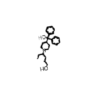 CCC(CCCO)N1CCC(C(O)(c2ccccc2)c2ccccc2)CC1